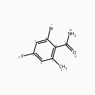 Cc1cc(F)cc(Br)c1C(N)=O